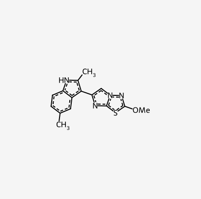 COc1nn2cc(-c3c(C)[nH]c4ccc(C)cc34)nc2s1